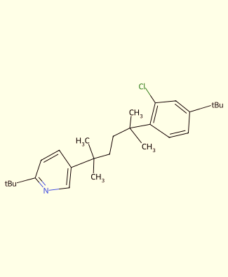 CC(C)(C)c1ccc(C(C)(C)CCC(C)(C)c2ccc(C(C)(C)C)nc2)c(Cl)c1